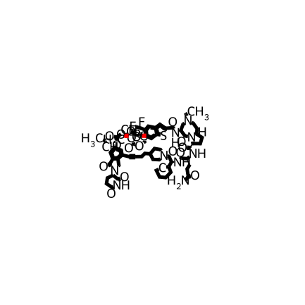 CCN1CC[C@H]2CC[C@@H](C(=O)N[C@@H](CCC(N)=O)C(=O)N[C@H](C(=O)N3CCC(CCC#Cc4cccc5c4CN(C4CCC(=O)NC4=O)C5=O)CC3)C3CCCCC3)N2C(=O)[C@@H](NC(=O)c2cc3cc(C(F)(F)P(=O)(OCOC(=O)OC(C)C)OCOC(=O)OC(C)C)ccc3s2)C1